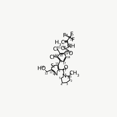 C[C@@H]1CCCCN1C(=O)c1nc(CO)sc1-c1ccc(S(=O)(=O)N[C@@H](C)C(F)(F)F)c(Cl)c1Cl